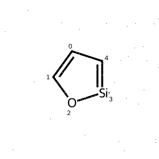 C1=CO[Si]=C1